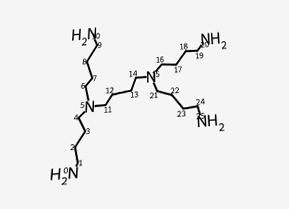 NCCCCN(CCCCN)CCCCN(CCCCN)CCCCN